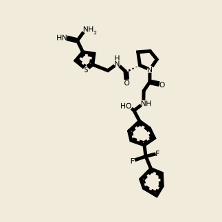 N=C(N)c1csc(CNC(=O)[C@@H]2CCCN2C(=O)CNC(O)c2ccc(C(F)(F)c3ccccc3)cc2)c1